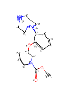 CC(C)OC(=O)N1CCCC(Oc2ccccc2N2CCNCC2)C1